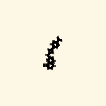 CC(C)c1ccc(N2CC(Cc3ccc4c(n3)NCCC4)C2)cc1